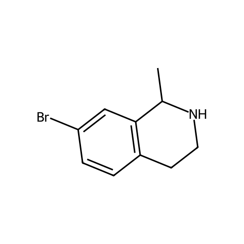 CC1NCCc2ccc(Br)cc21